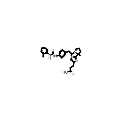 Cc1ccccc1NC(=O)Nc1ccc(CC(=O)N2CCCC2(C)c2ncc(CCC(=O)O)o2)cc1